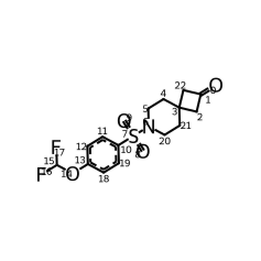 O=C1CC2(CCN(S(=O)(=O)c3ccc(OC(F)F)cc3)CC2)C1